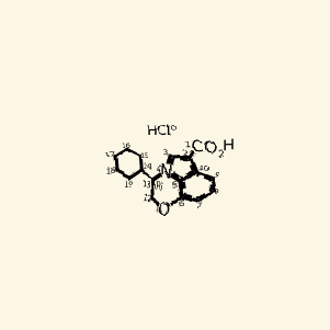 Cl.O=C(O)c1cn2c3c(cccc13)OC[C@H]2C1CCCCC1